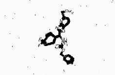 C=Cc1ccc2oc(C(NC(=O)OCc3ccccc3)C3CCC(F)(F)CC3)nc2n1